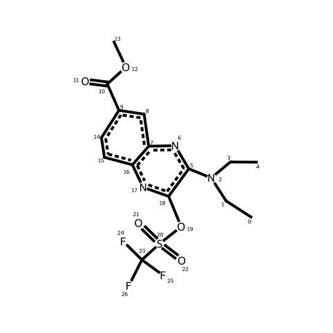 CCN(CC)c1nc2cc(C(=O)OC)ccc2nc1OS(=O)(=O)C(F)(F)F